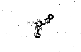 Nc1ncc(CN2Cc3ccccc3C2)c2nc(-c3ccco3)nn12